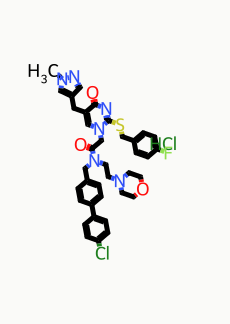 Cl.Cn1cc(Cc2cn(CC(=O)N(CCN3CCOCC3)Cc3ccc(-c4ccc(Cl)cc4)cc3)c(SCc3ccc(F)cc3)nc2=O)cn1